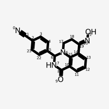 N#Cc1ccc(C2NC(=O)c3cccc4c3N2CC/C4=N\O)cc1